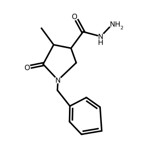 CC1C(=O)N(Cc2ccccc2)CC1C(=O)NN